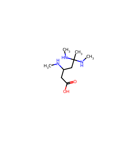 CNC(CC(=O)O)CC(C)(NC)NC